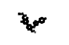 CSNCc1c(C)cc(-c2cnc(N)c(Oc3cnn(C4CCN(C)CC4)c3)n2)cc1C